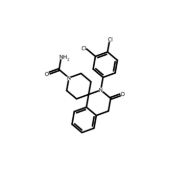 NC(=O)N1CCC2(CC1)c1ccccc1CC(=O)N2c1ccc(Cl)c(Cl)c1